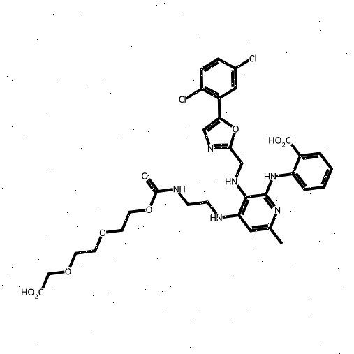 Cc1cc(NCCNC(=O)OCCOCCOCC(=O)O)c(NCc2ncc(-c3cc(Cl)ccc3Cl)o2)c(Nc2ccccc2C(=O)O)n1